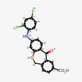 O=C(O)c1ccc2c(c1)C(=O)c1ccc(Nc3ccc(F)cc3F)cc1OC2